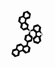 c1ccc2c(c1)ccc1ccc(N(c3ccc(-c4cccc5c4ccc4ccccc45)cc3)c3cccc4sc5ccccc5c34)cc12